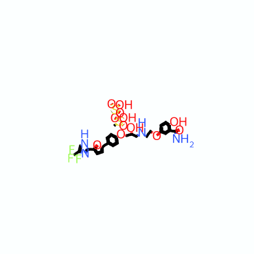 CS(=O)(=O)O.CS(=O)(=O)O.NC(=O)c1cc(OCCNCC(O)COc2ccc(-c3ccc(-c4nc(C(F)(F)F)c[nH]4)o3)cc2)ccc1O